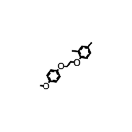 COc1ccc(OCCOc2ccc(C)cc2C)cc1